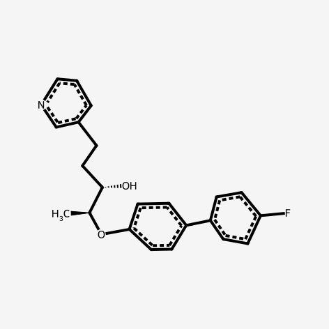 C[C@H](Oc1ccc(-c2ccc(F)cc2)cc1)[C@@H](O)CCc1cccnc1